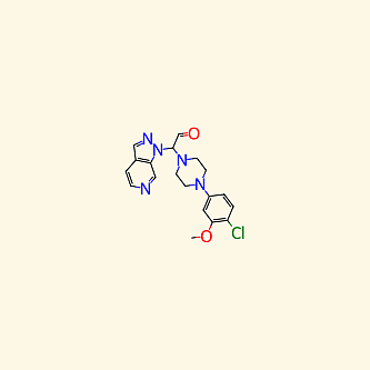 COc1cc(N2CCN(C(C=O)n3ncc4ccncc43)CC2)ccc1Cl